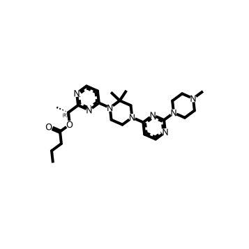 CCCC(=O)O[C@H](C)c1nccc(N2CCN(c3ccnc(N4CCN(C)CC4)n3)CC2(C)C)n1